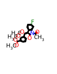 COC(=O)c1cccc(C(OC)=C2C(=O)N(C(C)=O)c3cc(F)ccc32)c1OC